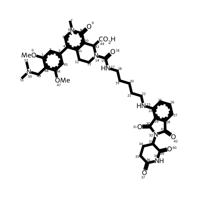 COc1cc(-c2cn(C)c(=O)c3c2CCN(C(=O)NCCCCCNc2cccc4c2C(=O)N(C2CCC(=O)NC2=O)C4=O)C3C(=O)O)cc(OC)c1CN(C)C